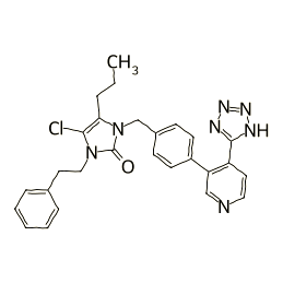 CCCc1c(Cl)n(CCc2ccccc2)c(=O)n1Cc1ccc(-c2cnccc2-c2nnn[nH]2)cc1